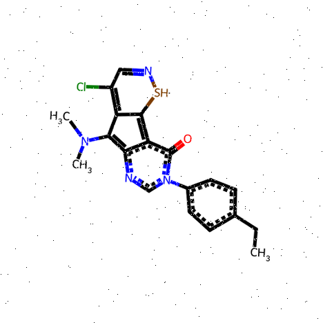 CCc1ccc(-n2cnc3c(c2=O)=C2[SH]N=CC(Cl)=C2C=3N(C)C)cc1